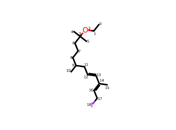 CCOC(C)(C)CCCC(C)CC=CC(C)=CCI